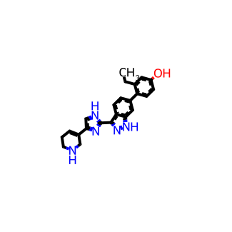 CCc1cc(O)ccc1-c1ccc2c(-c3nc(C4=CCCNC4)c[nH]3)n[nH]c2c1